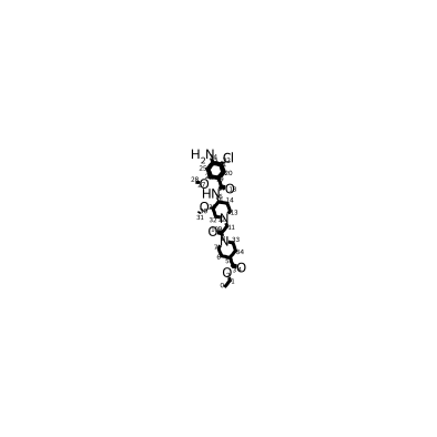 CCOC(=O)C1CCN(C(=O)CN2CC[C@@H](NC(=O)c3cc(Cl)c(N)cc3OC)[C@@H](OC)C2)CC1